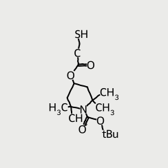 CC(C)(C)OC(=O)N1C(C)(C)CC(OC(=O)CCS)CC1(C)C